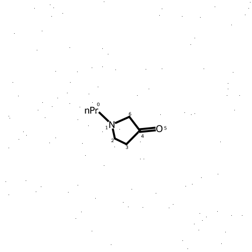 [CH2]CCN1CCC(=O)C1